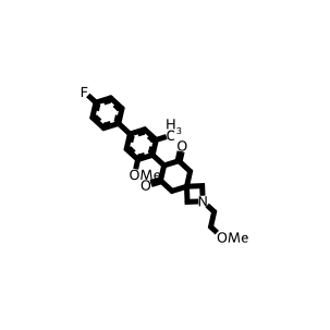 COCCN1CC2(CC(=O)C(c3c(C)cc(-c4ccc(F)cc4)cc3OC)C(=O)C2)C1